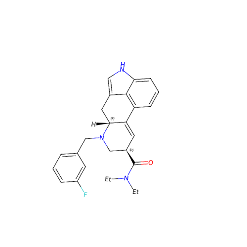 CCN(CC)C(=O)[C@@H]1C=C2c3cccc4[nH]cc(c34)C[C@H]2N(Cc2cccc(F)c2)C1